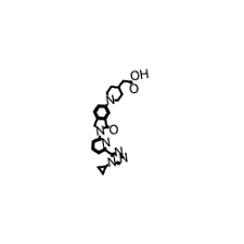 O=C(O)CC1CCN(c2ccc3c(c2)C(=O)N(c2cccc(-c4nncn4C4CC4)n2)C3)CC1